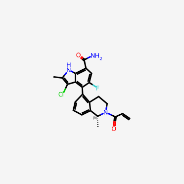 C=CC(=O)N1CCc2c(-c3c(F)cc(C(N)=O)c4[nH]c(C)c(Cl)c34)cccc2[C@H]1C